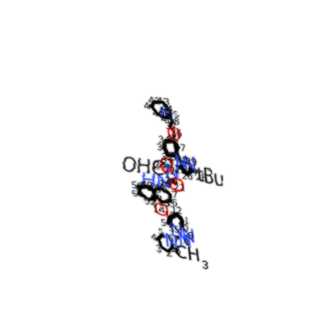 C[C@H]1CCCCN1c1nnc2ccc(O[C@@H]3CC[C@H](NC(=O)N(OC=O)c4cc(C(C)(C)C)nn4-c4cccc(OCCN5C6CCCC5CC6)c4)c4ccccc43)cn12